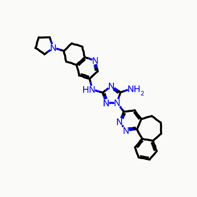 Nc1nc(Nc2cnc3c(c2)CC(N2CCCC2)CC3)nn1-c1cc2c(nn1)-c1ccccc1CCC2